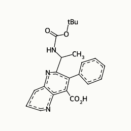 CC(NC(=O)OC(C)(C)C)c1nc2cccnc2c(C(=O)O)c1-c1ccccc1